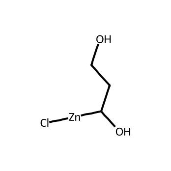 OCC[CH](O)[Zn][Cl]